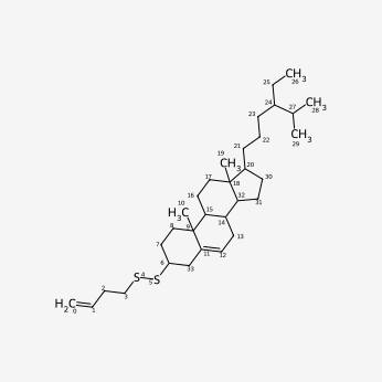 C=CCCSSC1CCC2(C)C(=CCC3C2CCC2(C)C(CCCC(CC)C(C)C)CCC32)C1